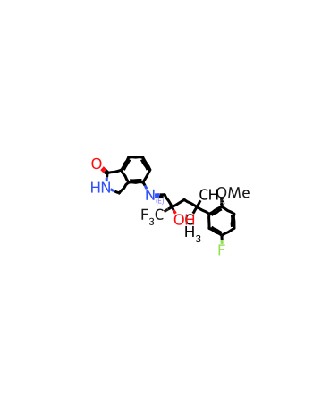 COc1ccc(F)cc1C(C)(C)CC(O)(/C=N/c1cccc2c1CNC2=O)C(F)(F)F